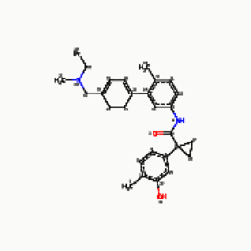 Cc1ccc(C2(C(=O)Nc3ccc(C)c(C4=CC=C(CN(C)CC(C)C)CC4)c3)CC2)cc1O